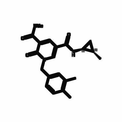 CNC(=O)c1cc(C(=O)N[C@H]2C[C@@H]2C)cn(Cc2ccc(C)c(C)c2)c1=O